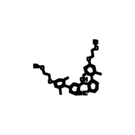 CCOCCOc1cc(C)c(-c2cccc(C(O)c3c(C=O)cccc3-c3c(C)cc(OCCOCC)cc3C)c2)c(C)c1